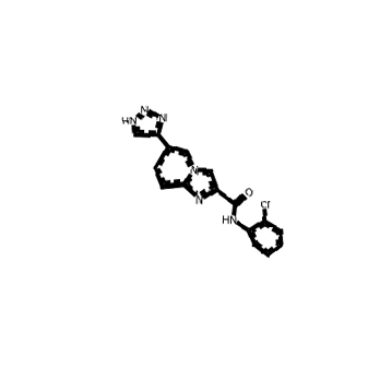 O=C(Nc1ccccc1Cl)c1cn2cc(-c3c[nH]nn3)ccc2n1